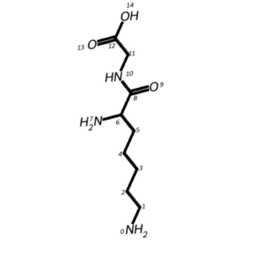 NCCCCCC(N)C(=O)NCC(=O)O